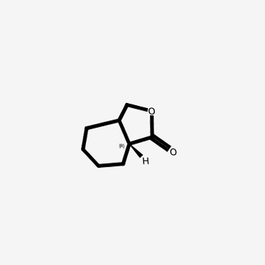 O=C1OCC2CCCC[C@@H]12